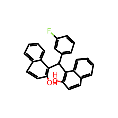 Oc1ccc2ccccc2c1C(c1cccc(F)c1)c1c(O)ccc2ccccc12